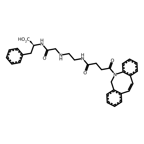 O=C(CCC(=O)N1Cc2ccccc2/C=C\c2ccccc21)NCCNCC(=O)N[C@@H](Cc1ccccc1)C(=O)O